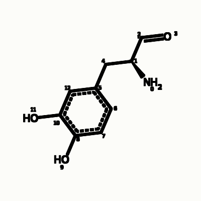 N[C@H]([C]=O)Cc1ccc(O)c(O)c1